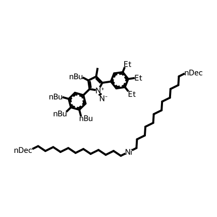 CCCCC1=C(c2cc(CCCC)c(CCCC)c(CCCC)c2)[N+](=[N-])C(c2cc(CC)c(CC)c(CC)c2)=C1C.CCCCCCCCCCCCCCCCCCCCC[CH2][Ni][CH2]CCCCCCCCCCCCCCCCCCCCC